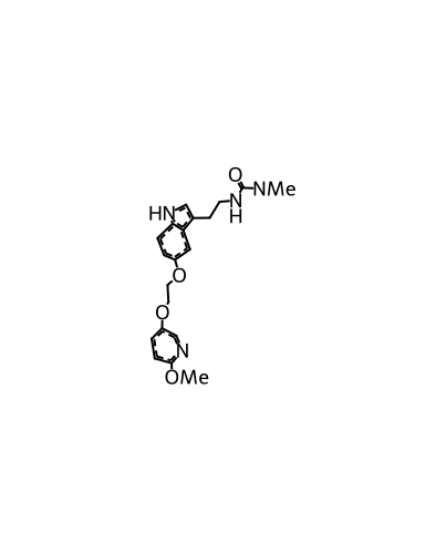 CNC(=O)NCCc1c[nH]c2ccc(OCCOc3ccc(OC)nc3)cc12